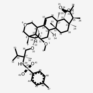 CO[C@@H]1C[C@@]23COC[C@](C)([C@@H]2CC[C@H]2C3=CC[C@@]3(C)[C@H](C(=O)O)[C@@](C)([C@H](C)C(C)C)CC[C@]23C)[C@H]1OC[C@@](C)(NS(=O)(=O)c1ccc(C)cc1)C(C)C